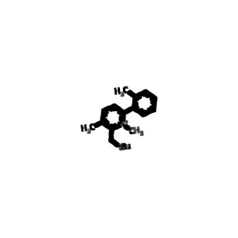 Cc1ccccc1-c1ccc(C)c(CC(C)(C)C)[n+]1C